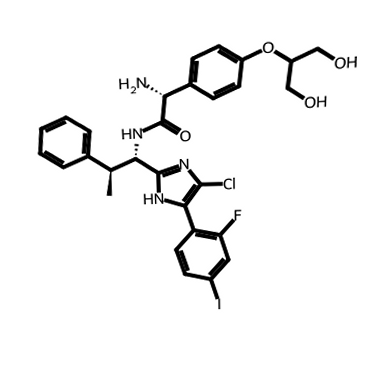 C[C@@H](c1ccccc1)[C@H](NC(=O)[C@H](N)c1ccc(OC(CO)CO)cc1)c1nc(Cl)c(-c2ccc(I)cc2F)[nH]1